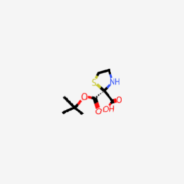 CC(C)(C)OC(=O)[C@@]1(C(=O)O)NCCS1